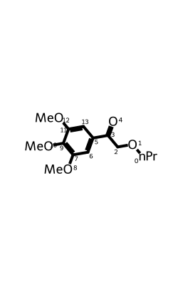 CCCOCC(=O)c1cc(OC)c(OC)c(OC)c1